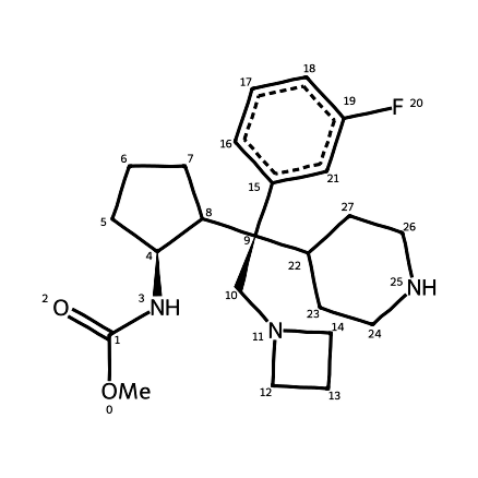 COC(=O)N[C@H]1CCCC1[C@](CN1CCC1)(c1cccc(F)c1)C1CCNCC1